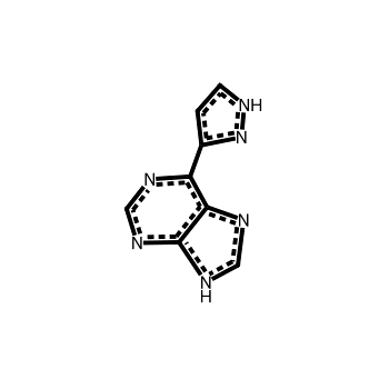 c1nc(-c2cc[nH]n2)c2nc[nH]c2n1